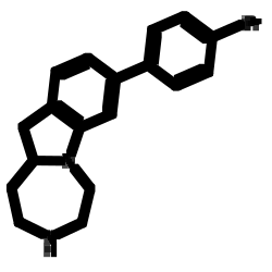 CC(C)c1ccc(-c2ccc3c(c2)N2CCNCCC2C3)cc1